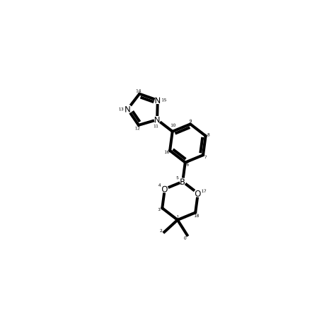 CC1(C)COB(c2cccc(-n3cncn3)c2)OC1